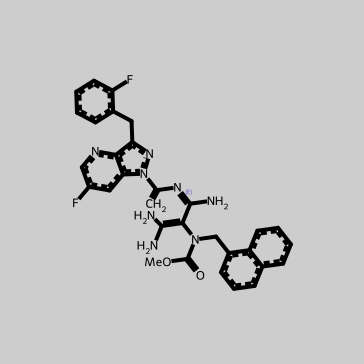 C=C(/N=C(/N)C(=C(N)N)N(Cc1cccc2ccccc12)C(=O)OC)n1nc(Cc2ccccc2F)c2ncc(F)cc21